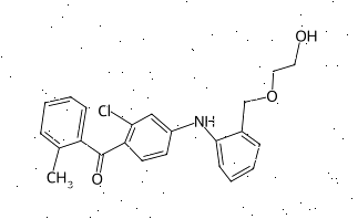 Cc1ccccc1C(=O)c1ccc(Nc2ccccc2COCCO)cc1Cl